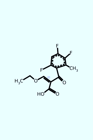 CCO/C=C(\C(=O)O)C(=O)c1c(F)cc(F)c(F)c1C